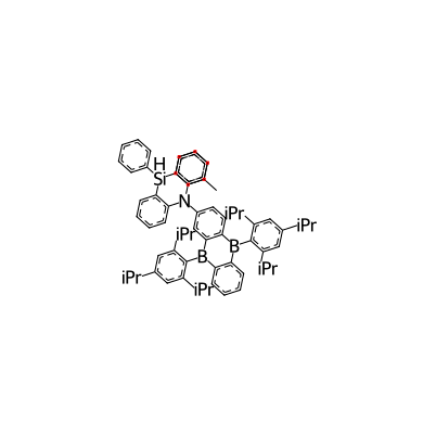 Cc1ccccc1N(c1ccc2c(c1)B(c1c(C(C)C)cc(C(C)C)cc1C(C)C)c1ccccc1B2c1c(C(C)C)cc(C(C)C)cc1C(C)C)c1ccccc1[SiH](c1ccccc1)c1ccccc1